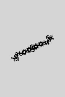 C=C(C)C(=O)OCC(C)COc1ccc(-c2ccc(S(=O)(=O)c3ccc(-c4ccc(OCC(C)COC(=O)C(=C)C)cc4)cc3)cc2)cc1